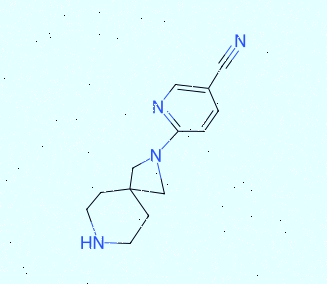 N#Cc1ccc(N2CC3(CCNCC3)C2)nc1